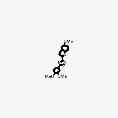 COc1ccc2nc(-c3noc(-c4ccc(OC)c(OC)c4)n3)ccc2c1